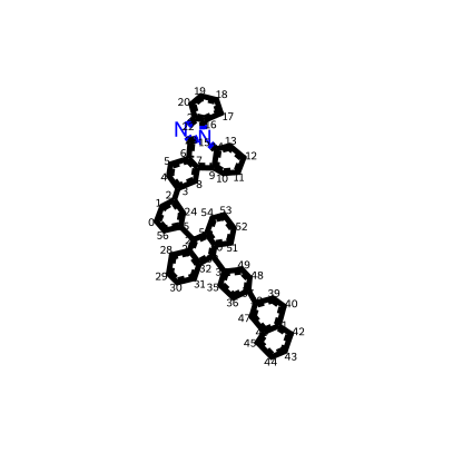 c1cc(-c2ccc3c(c2)c2ccccc2n2c4ccccc4nc32)cc(-c2c3ccccc3c(-c3ccc(-c4ccc5ccccc5c4)cc3)c3ccccc23)c1